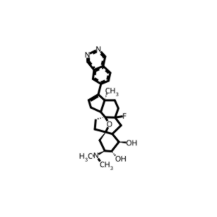 CN(C)[C@H]1C[C@@]23CC[C@]4(O2)C2CC=C(c5ccc6cnncc6c5)[C@@]2(C)CCC4(F)CC3[C@@H](O)[C@@H]1O